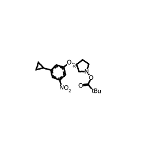 CC(C)(C)C(=O)ON1CC[C@@H](Oc2cc(C3CC3)cc([N+](=O)[O-])c2)C1